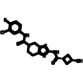 O=C(Nc1ccc(F)c(Cl)c1)N1CCc2nc(NC(=O)[C@H]3C[C@H](O)C3)sc2C1